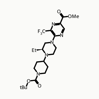 CC[C@H]1CN(c2ncc(C(=O)OC)nc2C(F)(F)F)CCN1C1CCN(C(=O)OC(C)(C)C)CC1